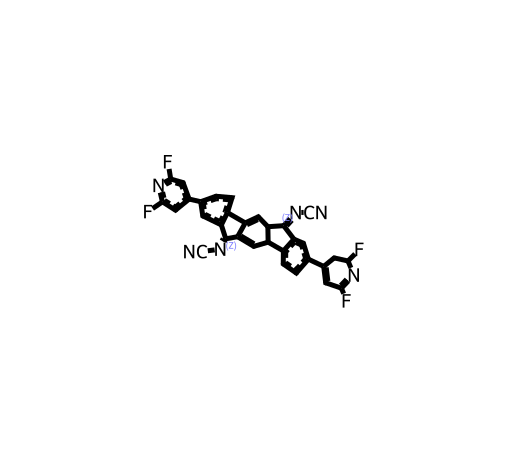 N#C/N=C1/C2=CC3c4ccc(C5=CC(F)=NC(F)C5)cc4/C(=N\C#N)C3C=C2c2ccc(-c3cc(F)nc(F)c3)cc21